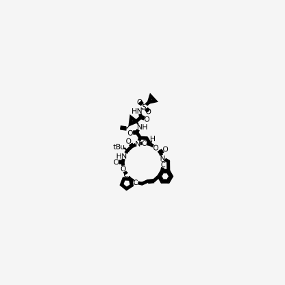 C=C[C@@H]1C[C@]1(NC(=O)C1C[C@@H]2CN1C(=O)[C@H](C(C)(C)C)NC(=O)OCC1(CC/C=C/c3cccc4c3CN(C4)C(=O)O2)CCCC1)C(=O)NS(=O)(=O)C1CC1